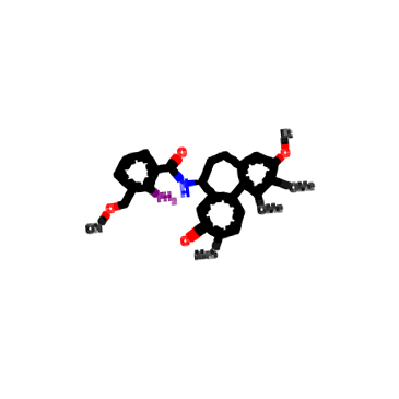 CCOc1cc2c(c(OC)c1OC)-c1ccc(SC)c(=O)cc1[C@@H](NC(=O)c1cccc(CON=O)c1P)CC2